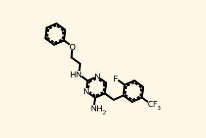 Nc1nc(NCCOc2ccccc2)ncc1Cc1cc(C(F)(F)F)ccc1F